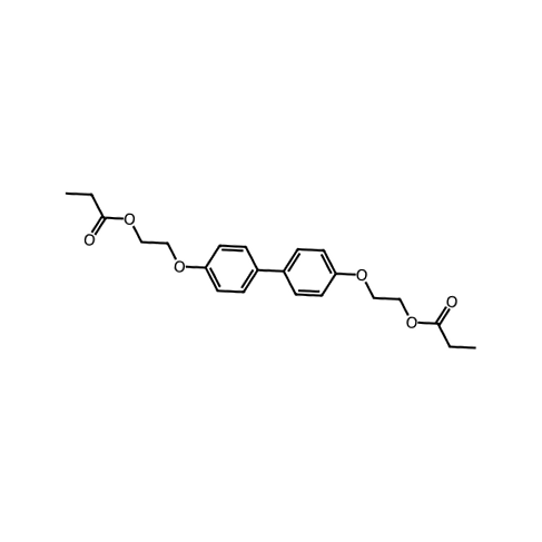 CCC(=O)OCCOc1ccc(-c2ccc(OCCOC(=O)CC)cc2)cc1